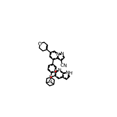 N#Cc1cnn2cc(C3=CCOCC3)cc(-c3ccc(N4CC5CC(C4)N5Cc4cnc5[nH]ccc5c4)nc3)c12